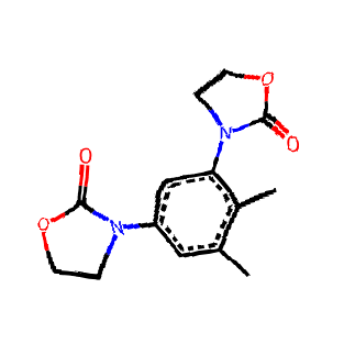 Cc1cc(N2CCOC2=O)cc(N2CCOC2=O)c1C